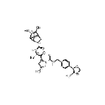 Cc1ncsc1-c1ccc(CNC(=O)[C@@H]2C[C@@H](O)CN2C(=O)[C@@H](NC(=O)[C@H]2CC3C(O)[C@@H](O)C4C2[C@H]34)C(C)(C)C)cc1